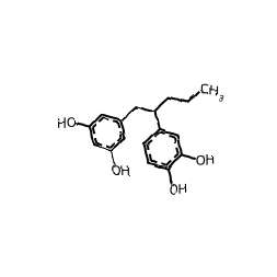 CCCC(Cc1cc(O)cc(O)c1)c1ccc(O)c(O)c1